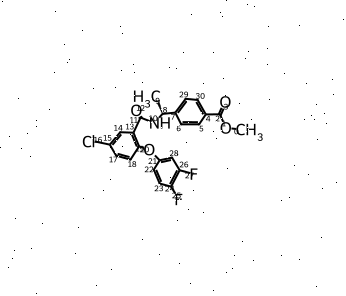 COC(=O)c1ccc([C@H](C)NC(=O)c2cc(Cl)ccc2Oc2ccc(F)c(F)c2)cc1